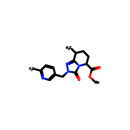 CC1CCC(C(=O)OC(C)(C)C)n2c1nn(Cc1ccc(C(F)(F)F)nc1)c2=O